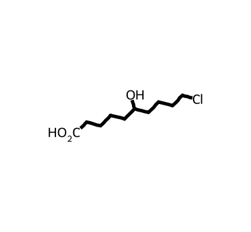 O=C(O)CCCCC(O)CCCCCl